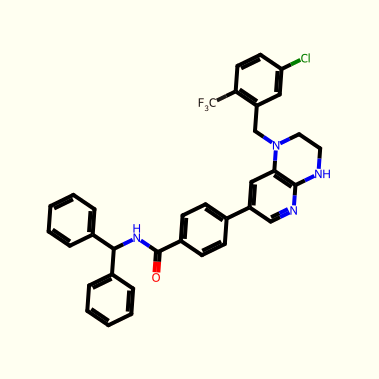 O=C(NC(c1ccccc1)c1ccccc1)c1ccc(-c2cnc3c(c2)N(Cc2cc(Cl)ccc2C(F)(F)F)CCN3)cc1